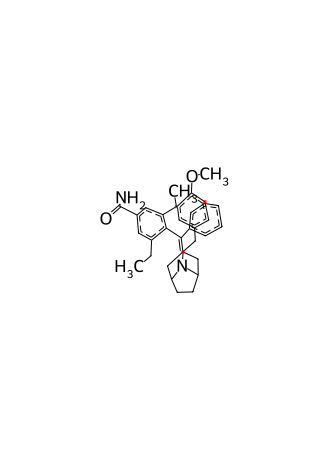 CCc1cc(C(N)=O)cc(CC)c1C(=C1CC2CCC(C1)N2CCc1ccc(OC)cc1)c1ccccc1